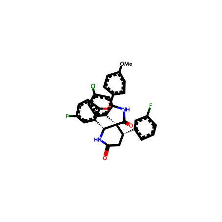 COc1ccc(Oc2ccc(F)cc2[C@H]2NC(=O)C[C@@H](c3cccc(F)c3)[C@]23C(=O)Nc2cc(Cl)ccc23)cc1